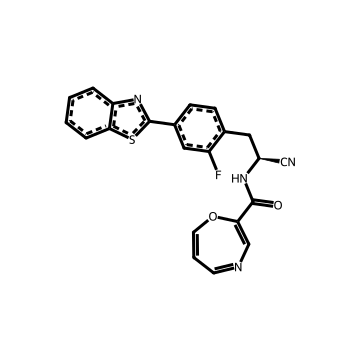 N#C[C@H](Cc1ccc(-c2nc3ccccc3s2)cc1F)NC(=O)C1=CN=CC=CO1